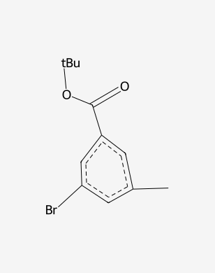 Cc1cc(Br)cc(C(=O)OC(C)(C)C)c1